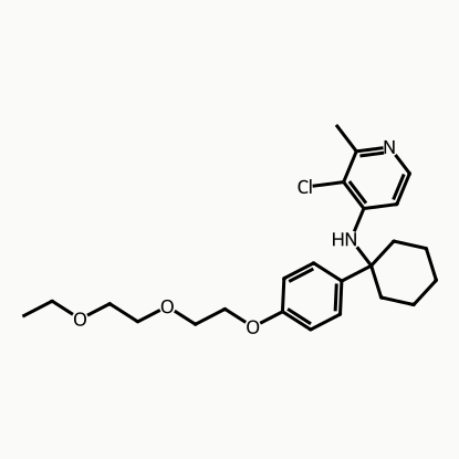 CCOCCOCCOc1ccc(C2(Nc3ccnc(C)c3Cl)CCCCC2)cc1